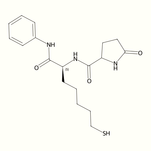 O=C1CCC(C(=O)N[C@@H](CCCCCS)C(=O)Nc2ccccc2)N1